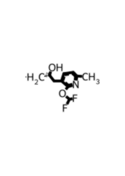 [CH2][C@H](O)Cc1ccc(C)nc1OC(F)F